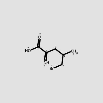 CC(CBr)CC(=N)C(=O)O